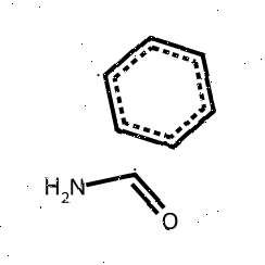 N[C]=O.[c]1ccccc1